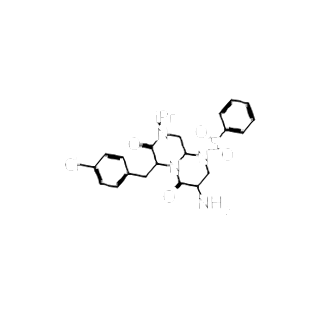 CC(C)N1CC2N(C(=O)C(N)CN2S(=O)(=O)c2ccccc2)C(Cc2ccc(Cl)cc2)C1=O